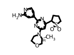 C[C@@H]1COCCN1c1cc(C2CCCS2(=O)=O)nc(-c2ccnc(N)c2)n1